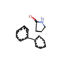 O=C1CCCN1.c1ccc(-c2ccccc2)cc1